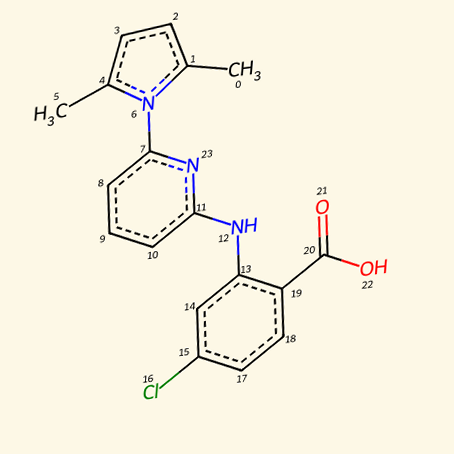 Cc1ccc(C)n1-c1cccc(Nc2cc(Cl)ccc2C(=O)O)n1